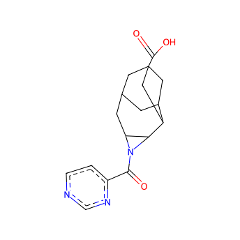 O=C(c1ccncn1)N1C2CC3CC4CC(C(=O)O)(C3)CC4C21